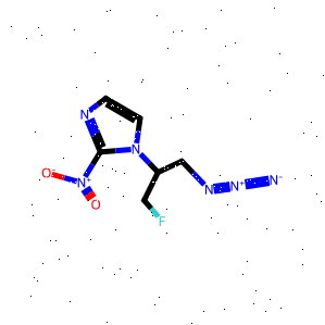 [N-]=[N+]=NCC(CF)n1ccnc1[N+](=O)[O-]